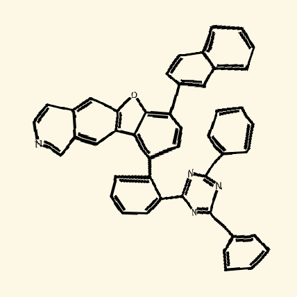 c1ccc(-c2nc(-c3ccccc3)nc(-c3ccccc3-c3ccc(-c4ccc5ccccc5c4)c4oc5cc6ccncc6cc5c34)n2)cc1